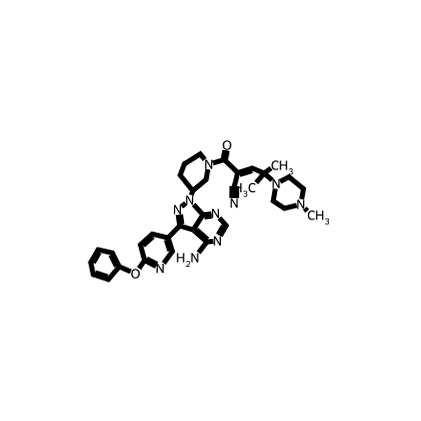 CN1CCN(C(C)(C)C=C(C#N)C(=O)N2CCCC(n3nc(-c4ccc(Oc5ccccc5)nc4)c4c(N)ncnc43)C2)CC1